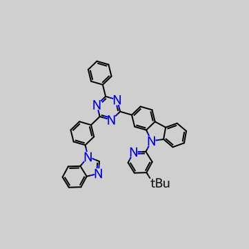 CC(C)(C)c1ccnc(-n2c3ccccc3c3ccc(-c4nc(-c5ccccc5)nc(-c5cccc(-n6cnc7ccccc76)c5)n4)cc32)c1